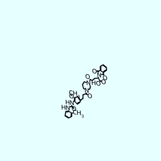 COc1cc(CCC(=O)N2CCCN(C(=O)CCC(C(=O)O)N3C(=O)c4ccccc4C3=O)CC2)ccc1NC(=O)Nc1ccccc1C